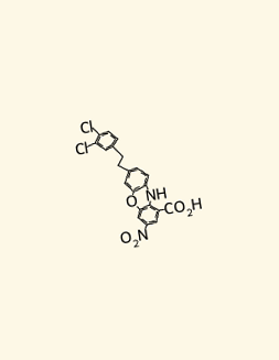 O=C(O)c1cc([N+](=O)[O-])cc2c1Nc1ccc(CCc3ccc(Cl)c(Cl)c3)cc1O2